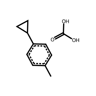 Cc1ccc(C2CC2)cc1.O=C(O)O